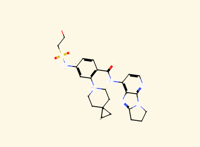 O=C(Nc1ccnc2c1nc1n2CCC1)c1ccc(NS(=O)(=O)CCO)cc1N1CCC2(CC1)CC2